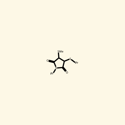 CSC1C(=O)N(C(C)C)C(=O)C1SC(C)C